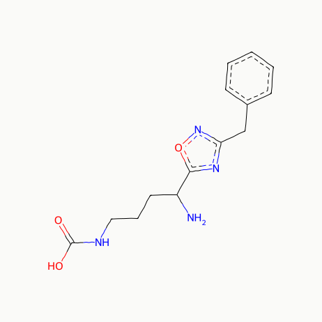 NC(CCCNC(=O)O)c1nc(Cc2ccccc2)no1